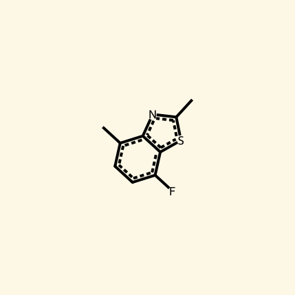 Cc1nc2c(C)ccc(F)c2s1